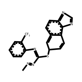 CN=NC(=Nc1ccccc1C(F)(F)F)S[C]1C=Cc2c3c(ccc2=C1)=NC=N3